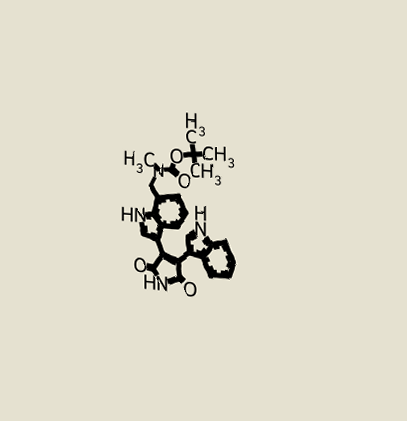 CN(Cc1cccc2c(C3=C(c4c[nH]c5ccccc45)C(=O)NC3=O)c[nH]c12)C(=O)OC(C)(C)C